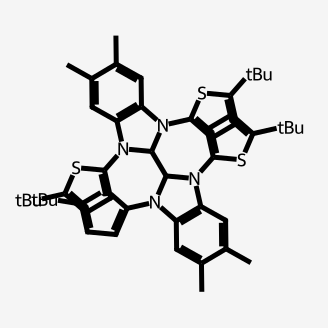 Cc1cc2c(cc1C)N(c1ccc(C(C)(C)C)s1)C(C1N(c3ccc(C(C)(C)C)s3)c3cc(C)c(C)cc3N1c1ccc(C(C)(C)C)s1)N2c1ccc(C(C)(C)C)s1